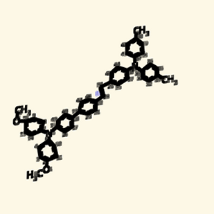 COc1ccc(N(c2ccc(OC)cc2)c2ccc(-c3ccc(/C=C/c4ccc(N(c5ccc(C)cc5)c5ccc(C)cc5)cc4)cc3)cc2)cc1